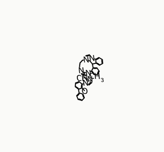 Cc1ccc2c(oc3ccccc32)c1N1C=CN(C)C1CC1N2C=CN1c1ccccc1C1c3ccccc3N3C=CN(CCC2)C13